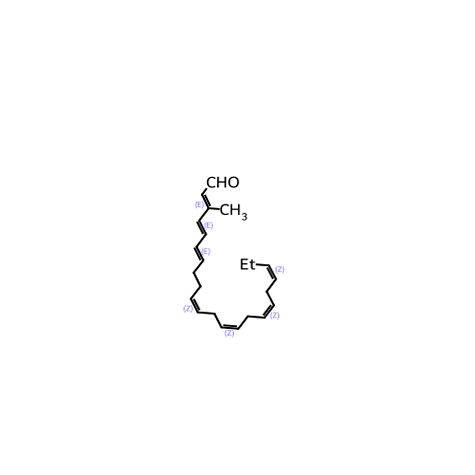 CC/C=C\C/C=C\C/C=C\C/C=C\CC/C=C/C=C/C(C)=C/C=O